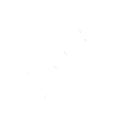 O=C(OC(C(F)(F)F)C(F)(F)F)N1CCN(Cc2cc(Cl)ccc2N2CCCC2)CC1